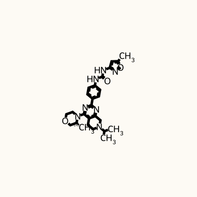 Cc1cc(NC(=O)Nc2ccc(-c3nc4c(c(N5CCOC[C@@H]5C)n3)CCN(C(C)C)C4)cc2)no1